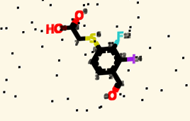 O=Cc1ccc(SCC(=O)O)c(F)c1I